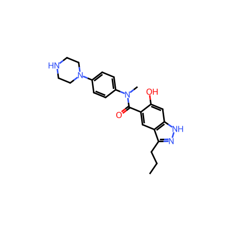 CCCc1n[nH]c2cc(O)c(C(=O)N(C)c3ccc(N4CCNCC4)cc3)cc12